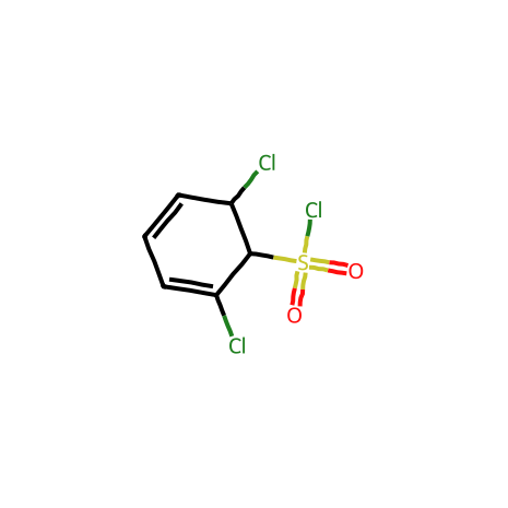 O=S(=O)(Cl)C1C(Cl)=CC=CC1Cl